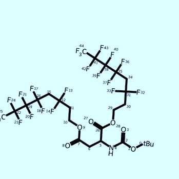 CC(C)(C)OC(=O)NC(CC(=O)OCCC(F)(F)CC(F)(F)C(F)(F)C(F)(F)C(F)(F)F)C(=O)OCCC(F)(F)CC(F)(F)C(F)(F)C(F)(F)C(F)(F)F